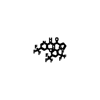 O=C(NNc1ncc(C(F)(F)F)cc1Cl)c1cccn1-c1ccc(C(F)(F)F)cc1C(F)(F)F